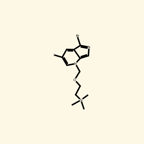 C[Si](C)(C)CCOCn1cc(I)cc2c(Br)ncc1-2